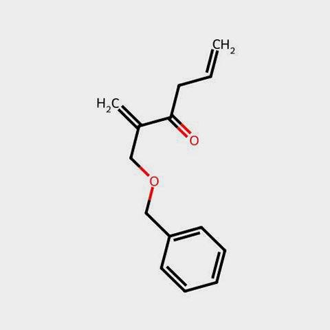 C=CCC(=O)C(=C)COCc1ccccc1